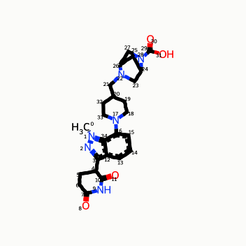 Cn1nc(C2CCC(=O)NC2=O)c2cccc(N3CCC(CN4CC5CC4CN5C(=O)O)CC3)c21